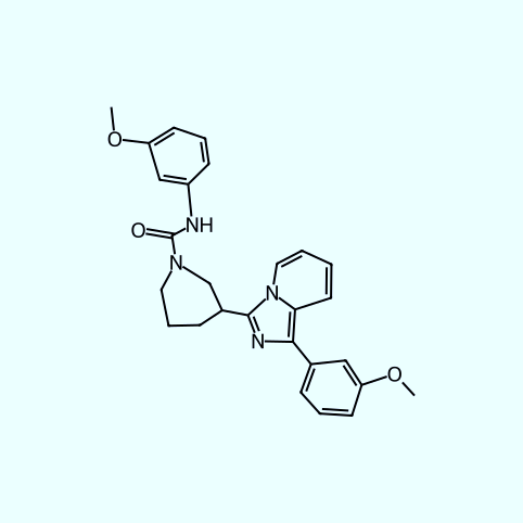 COc1cccc(NC(=O)N2CCCC(c3nc(-c4cccc(OC)c4)c4ccccn34)C2)c1